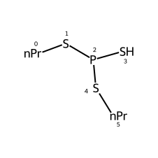 CCCSP(S)SCCC